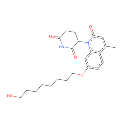 Cc1cc(=O)n(C2CCC(=O)NC2=O)c2cc(OCCCCCCCCO)ccc12